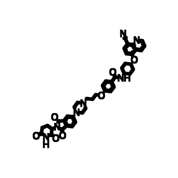 N#Cc1ccc(O[C@H]2CC[C@H](NC(=O)c3ccc(OCCCN4CCN(c5ccc6c(c5)C(=O)N(C5CCC(=O)NC5=O)C6=O)CC4)cc3)CC2)c2cccnc12